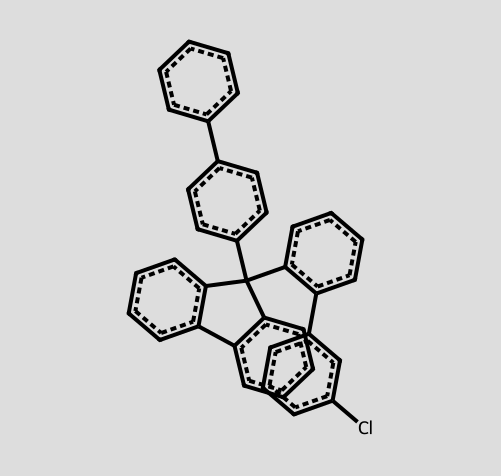 Clc1cccc(-c2ccccc2C2(c3ccc(-c4ccccc4)cc3)c3ccccc3-c3ccccc32)c1